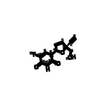 C#C[C@@]1(CO)C=C[C@H](n2cc(F)c(=O)[nH]c2=O)O1